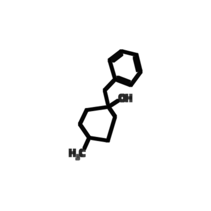 CC1CCC(O)(Cc2ccccc2)CC1